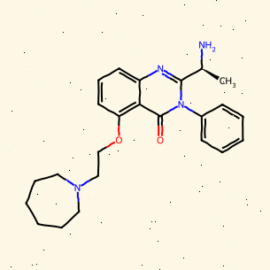 C[C@H](N)c1nc2cccc(OCCN3CCCCCC3)c2c(=O)n1-c1ccccc1